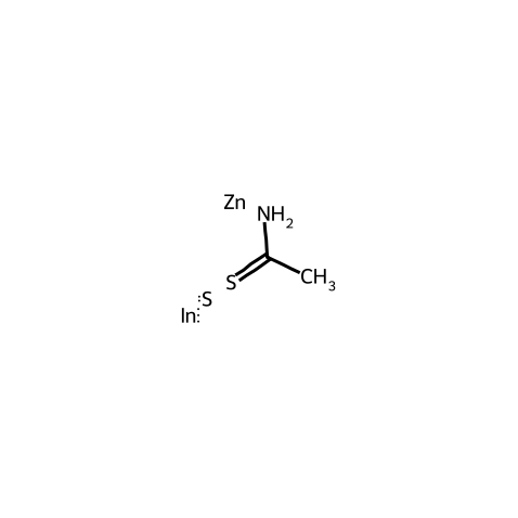 CC(N)=S.[In].[S].[Zn]